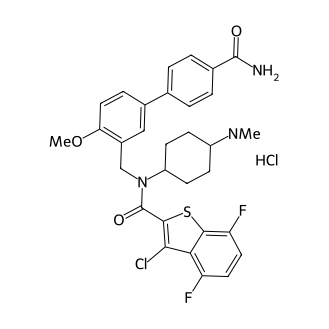 CNC1CCC(N(Cc2cc(-c3ccc(C(N)=O)cc3)ccc2OC)C(=O)c2sc3c(F)ccc(F)c3c2Cl)CC1.Cl